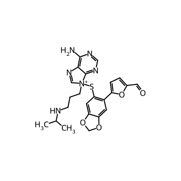 CC(C)NCCC[N+]1(Sc2cc3c(cc2-c2ccc(C=O)o2)OCO3)C=Nc2c(N)ncnc21